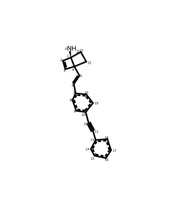 N[C@]12C=CC1(C=Cc1ccc(C#Cc3ccccc3)cc1)CC2